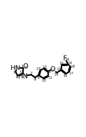 O=C1NCCC1NCCc1ccc(OCc2cccc(F)c2)cc1